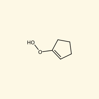 OOC1=CCCC1